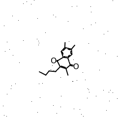 CCCCC1=C(C)C(=O)c2cc(C)c(C)cc2C1=O